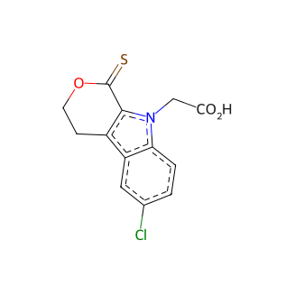 O=C(O)Cn1c2c(c3cc(Cl)ccc31)CCOC2=S